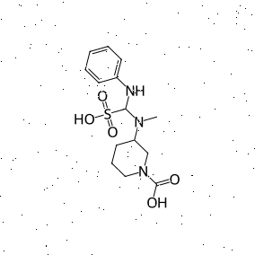 CN(C1CCCN(C(=O)O)C1)C(Nc1ccccc1)S(=O)(=O)O